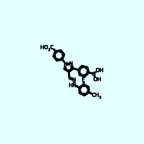 Cc1ccc(N/N=C/c2cn(-c3ccc(C(=O)O)cc3)nc2-c2ccc(B(O)O)cc2)c(F)c1